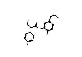 C[C@H](Cc1ccc(Cl)c(NC(=O)[C@H](C2C=CC(Cl)=CC2)[C@@H](C)C(F)(F)F)c1)C(=O)O